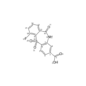 O=C(O)c1ccc2c(c1)NC(=O)c1cccc(F)c1S2(=O)=O